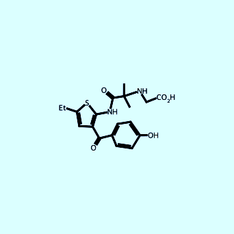 CCc1cc(C(=O)c2ccc(O)cc2)c(NC(=O)C(C)(C)NCC(=O)O)s1